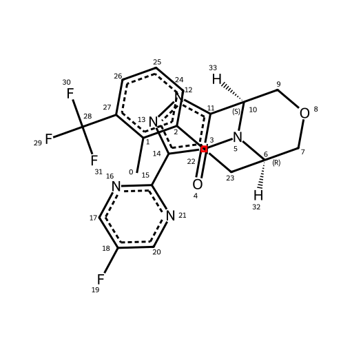 Cc1c(C(=O)N2[C@H]3COC[C@@H]2c2nnc(-c4ncc(F)cn4)n2C3)cccc1C(F)(F)F